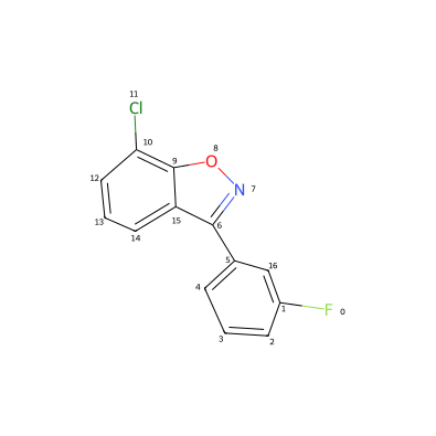 Fc1cccc(-c2noc3c(Cl)cccc23)c1